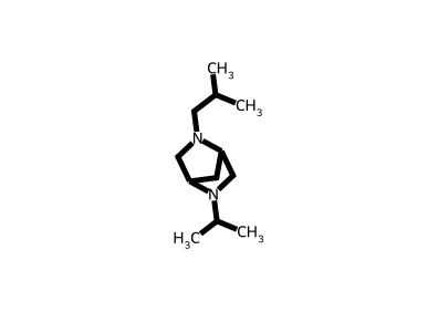 CC(C)CN1CC2CC1CN2C(C)C